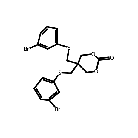 O=C1OCC(CSc2cccc(Br)c2)(CSc2cccc(Br)c2)CO1